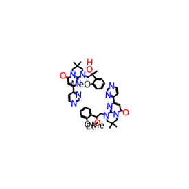 CCOC(CN1CC(C)(C)Cn2c1nc(-c1ccncn1)cc2=O)c1ccccc1OC.COc1ccccc1C(C)(O)CN1CC(C)(C)Cn2c1nc(-c1ccncn1)cc2=O